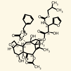 CC(=O)O[C@H]1C(=O)[C@@]2(C)[C@H]([C@H](OOCc3ccccc3)[C@]3(O)C[C@H](OC(=O)[C@H](O)[C@@H](NC(=O)SCC(C)C)c4ccco4)C(C)=C1C3(C)C)[C@]1(OC(C)=O)CO[C@@H]1C[C@@H]2O